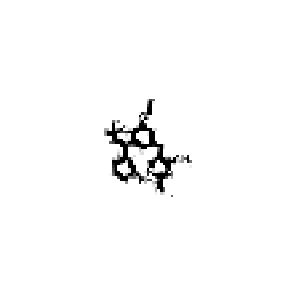 CCOc1cc(Cc2cnc(N)nc2N)cc2c1OC(C)(C)C=C2c1cccc(N)c1